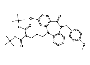 COc1ccc(CN2C(=O)c3ccc(Cl)cc3N(CCCN(C(=O)OC(C)(C)C)C(=O)OC(C)(C)C)c3ccccc32)cc1